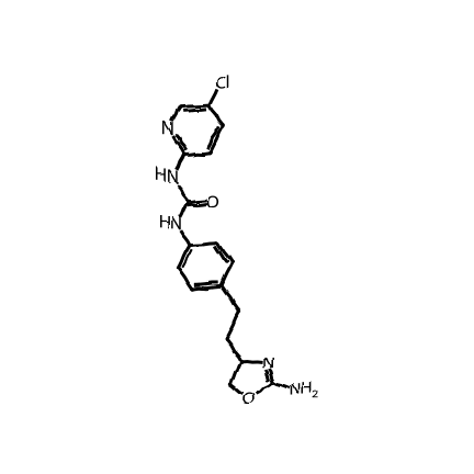 NC1=NC(CCc2ccc(NC(=O)Nc3ccc(Cl)cn3)cc2)CO1